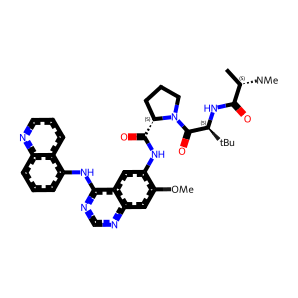 CN[C@@H](C)C(=O)N[C@H](C(=O)N1CCC[C@H]1C(=O)Nc1cc2c(Nc3cccc4ncccc34)ncnc2cc1OC)C(C)(C)C